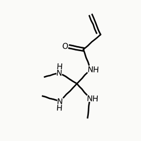 C=CC(=O)NC(NC)(NC)NC